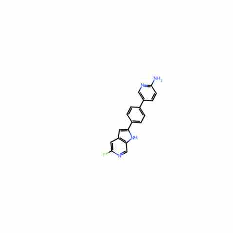 Nc1ccc(-c2ccc(-c3cc4cc(F)ncc4[nH]3)cc2)cn1